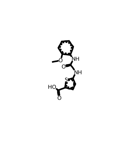 COc1ccccc1NC(=O)Nc1ccc(C(=O)O)s1